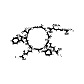 CC(=O)N[C@@H](CCCNC(=N)N)C(=O)N[C@H]1CCC(=O)NCCCC(C(N)=O)NC(=O)[C@H](Cc2c[nH]c3ccccc23)NC(=O)[C@H](CCCNC(=N)N)NC(=O)[C@@H](Cc2ccccc2)NC(=O)[C@H](CCCNC(=N)N)NC1=O